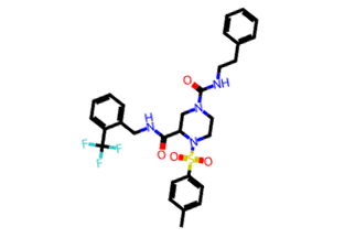 Cc1ccc(S(=O)(=O)N2CCN(C(=O)NCCc3ccccc3)CC2C(=O)NCc2ccccc2C(F)(F)F)cc1